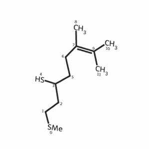 CSCCC(S)CCC(C)=C(C)C